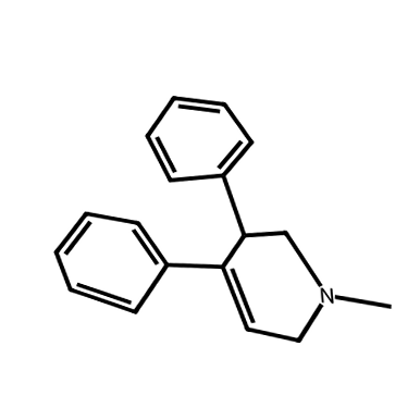 CN1CC=C(c2ccccc2)C(c2ccccc2)C1